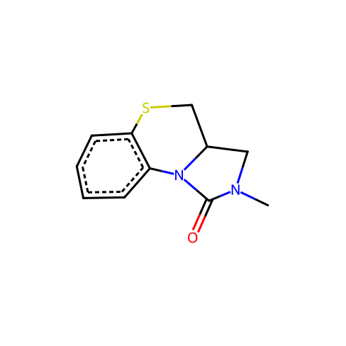 CN1CC2CSc3ccccc3N2C1=O